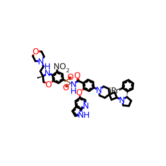 CC(C)c1ccccc1[C@@H]1CCCN1C1CC2(CCN(c3ccc(C(=O)NS(=O)(=O)c4cc5c(c([N+](=O)[O-])c4)N[C@@](C)(CCN4CCOCC4)CO5)c(Oc4cnc5[nH]ccc5c4)c3)CC2)C1